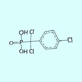 O=P(O)(O)C(Cl)(Cl)c1ccc(Cl)cc1